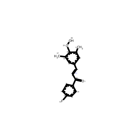 Cc1cc(/C=C/C(=O)c2ccc(F)cc2)cc(C)c1OO